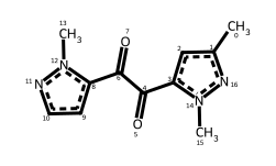 Cc1cc(C(=O)C(=O)c2ccnn2C)n(C)n1